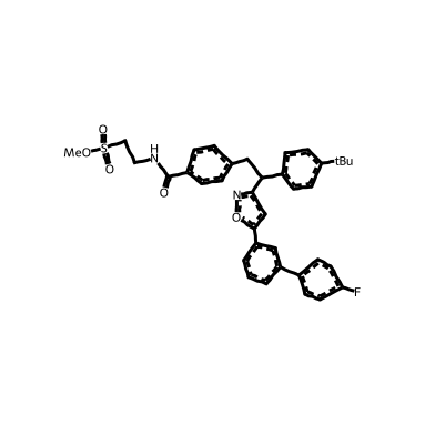 COS(=O)(=O)CCNC(=O)c1ccc(CC(c2ccc(C(C)(C)C)cc2)c2cc(-c3cccc(-c4ccc(F)cc4)c3)on2)cc1